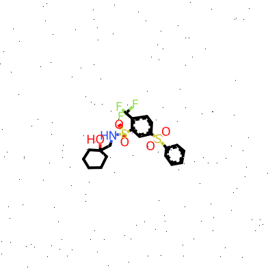 O=S(=O)(NCC1(O)CCCCC1)c1cc(S(=O)(=O)c2ccccc2)ccc1C(F)(F)F